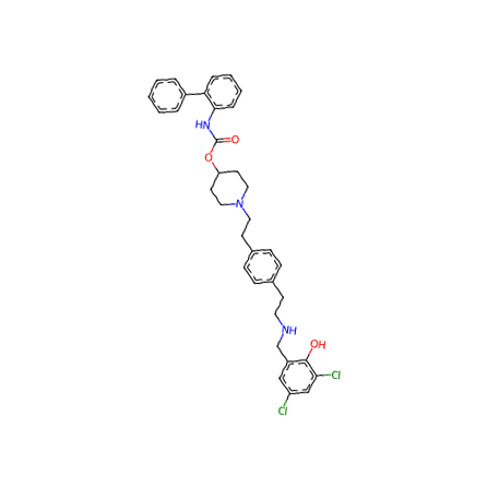 O=C(Nc1ccccc1-c1ccccc1)OC1CCN(CCc2ccc(CCNCc3cc(Cl)cc(Cl)c3O)cc2)CC1